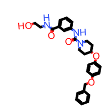 O=C(NCCO)c1cccc(NC(=O)N2CCC(Oc3ccc(OCc4ccccc4)cc3)CC2)c1